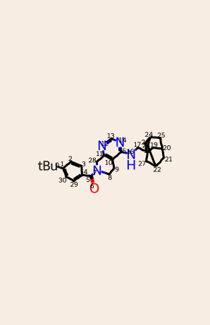 CC(C)(C)c1ccc(C(=O)N2CCc3c(ncnc3NCC34CC5CC(CC(C5)C3)C4)C2)cc1